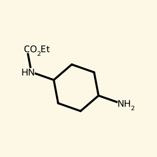 CCOC(=O)NC1CCC(N)CC1